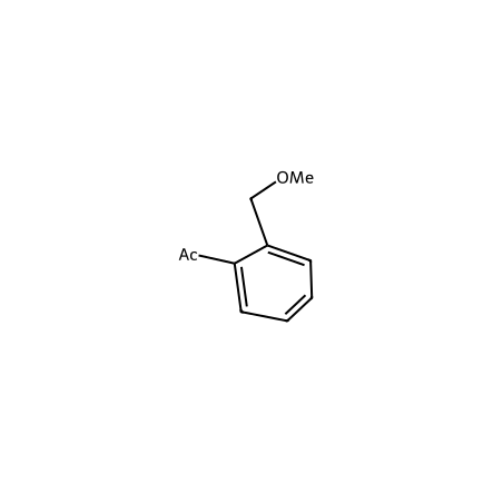 COCc1ccccc1C(C)=O